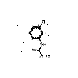 CCCCCCC(C)Nc1cccc(Cl)c1